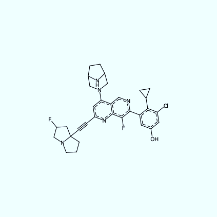 Oc1cc(Cl)c(C2CC2)c(-c2ncc3c(N4CC5CCC(C4)N5)cc(C#CC45CCCN4CC(F)C5)nc3c2F)c1